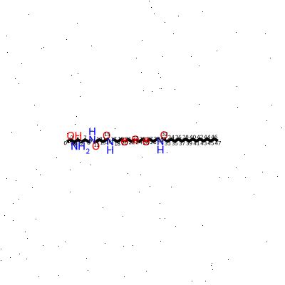 C=C(O)[C@@H](N)CCCCNC(=O)CCC(=O)NCCCOCCOCCOCCCNC(=O)CCCCCCCCCCCCCCC